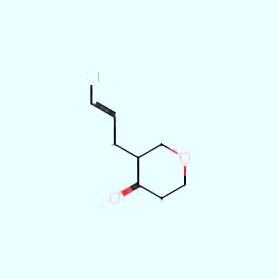 CC=CCC1COCCC1=O